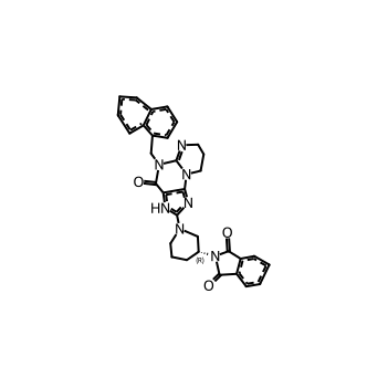 O=C1c2[nH]c(N3CCC[C@@H](N4C(=O)c5ccccc5C4=O)C3)nc2N2CCCN=C2N1Cc1cccc2ccccc12